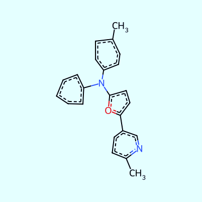 Cc1ccc(N(c2ccccc2)c2ccc(-c3ccc(C)nc3)o2)cc1